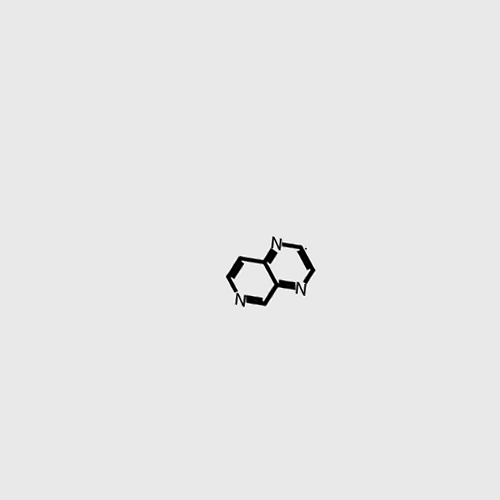 [c]1cnc2cnccc2n1